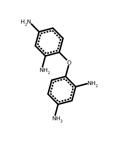 Nc1ccc(Oc2ccc(N)cc2N)c(N)c1